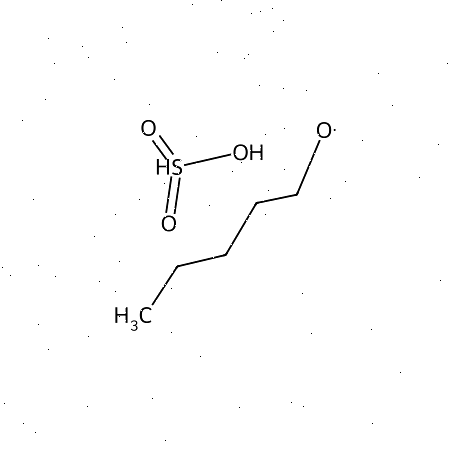 CCCCC[O].O=[SH](=O)O